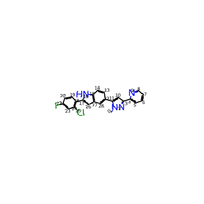 Cn1nc(-c2ccccn2)cc1-c1ccc2[nH]c(-c3ccc(F)cc3Cl)cc2c1